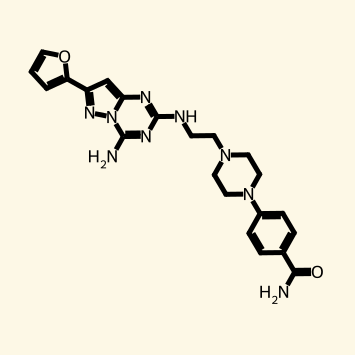 NC(=O)c1ccc(N2CCN(CCNc3nc(N)n4nc(-c5ccco5)cc4n3)CC2)cc1